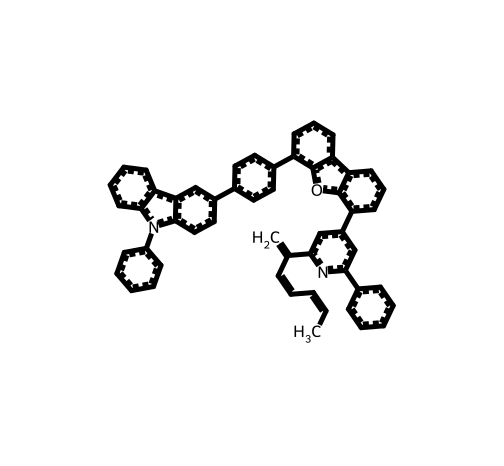 C=C(/C=C\C=C/C)c1cc(-c2cccc3c2oc2c(-c4ccc(-c5ccc6c(c5)c5ccccc5n6-c5ccccc5)cc4)cccc23)cc(-c2ccccc2)n1